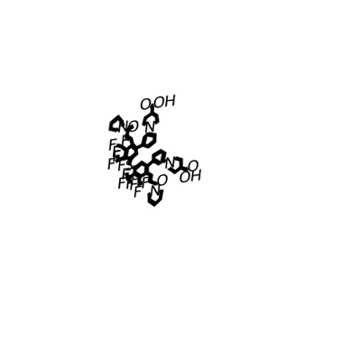 O=C(O)C1CCN(c2cccc(-c3cc(Sc4cc(-c5cccc(N6CCC(C(=O)O)CC6)c5)c(/C=C/C(=O)N5CC=CCC5)c(C(F)(F)F)c4C(F)(F)F)c(C(F)(F)F)c(C(F)(F)F)c3/C=C/C(=O)N3CC=CCC3)c2)CC1